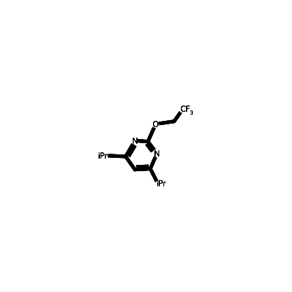 CC(C)c1cc(C(C)C)nc(OCC(F)(F)F)n1